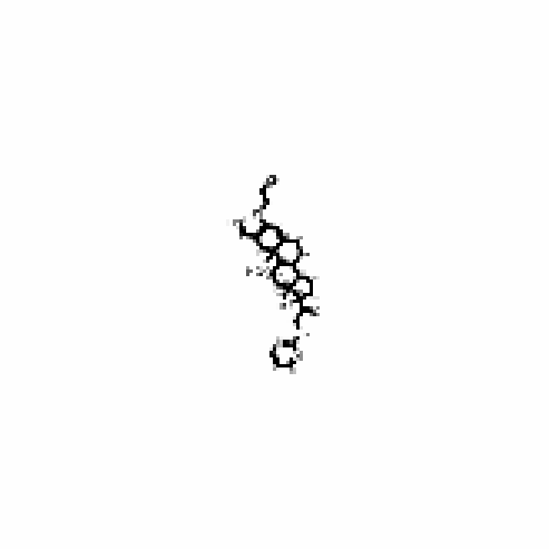 CC12CC(C=N)=C(NCCC#N)C=C1CCC1C2[C@@H](O)CC2(C)C1CC[C@]2(O)C(=O)CSc1ncccn1